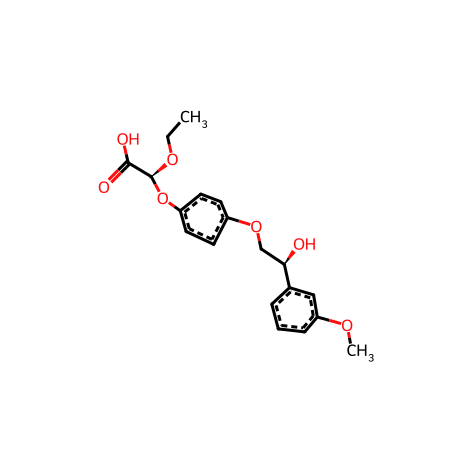 CCO[C@@H](Oc1ccc(OC[C@@H](O)c2cccc(OC)c2)cc1)C(=O)O